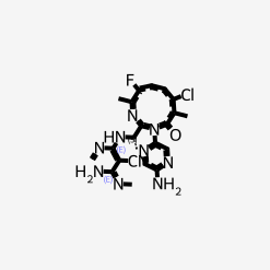 C=N/C(N[C@@H](C)c1nc(C)c(F)ccc(Cl)c(C)c(=O)n1-c1cnc(N)cn1)=C(C#N)\C(N)=N/C